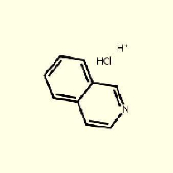 Cl.[H+].c1ccc2cnccc2c1